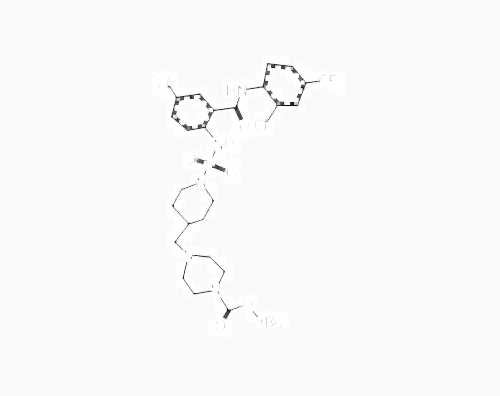 CC(C)(C)OC(=O)N1CCN(CC2CCN(S(=O)(=O)Nc3ccc(Cl)cc3C(=O)Nc3ccc(C(F)(F)F)cc3Cl)CC2)CC1